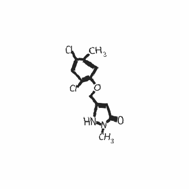 Cc1cc(OCc2cc(=O)n(C)[nH]2)c(Cl)cc1Cl